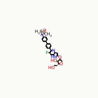 CS(C)(=O)=Nc1ccc(-c2ccc(-c3nc4cc(O[C@@H]5CO[C@H](CCO)[C@@H]5O)[nH]c4cc3F)cc2)cc1